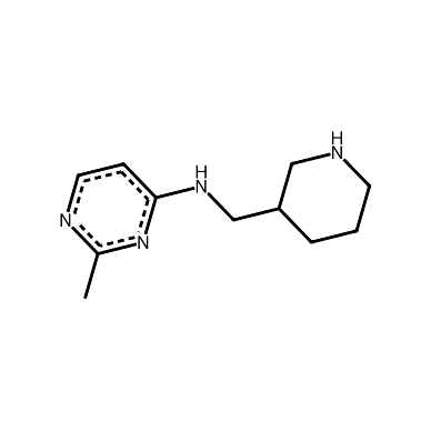 Cc1nccc(NCC2CCCNC2)n1